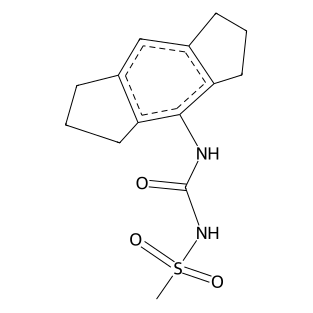 CS(=O)(=O)NC(=O)Nc1c2c(cc3c1CCC3)CCC2